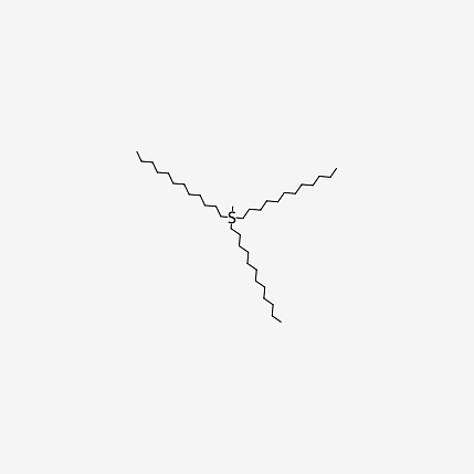 CCCCCCCCCCCCS(C)(CCCCCCCCCCCC)CCCCCCCCCCCC